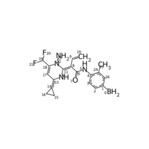 Bc1ccc(NC(=O)/C(C=C)=C2\NC(=C3CC3)C=C(C(F)F)N2N)c(C)c1